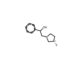 OC(CN1CC[C@H](F)C1)c1ccccc1